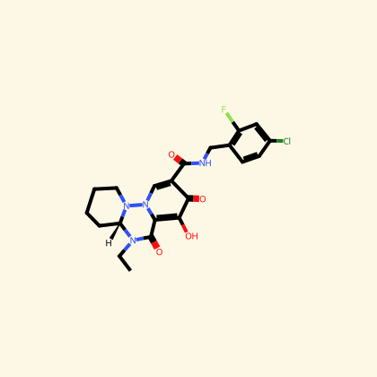 CCN1C(=O)c2c(O)c(=O)c(C(=O)NCc3ccc(Cl)cc3F)cn2N2CCCC[C@@H]12